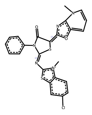 CN1C=CC=c2o/c(=C3\S/C(=N\c4sc5cc(Cl)ccc5[n+]4C)N(c4ccccc4)C3=O)nc21